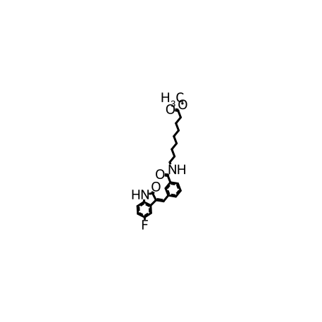 COC(=O)CCCCCCCCNC(=O)c1cccc(/C=C2\C(=O)Nc3ccc(F)cc32)c1